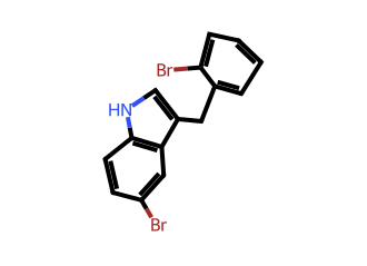 Brc1ccc2[nH]cc(Cc3ccccc3Br)c2c1